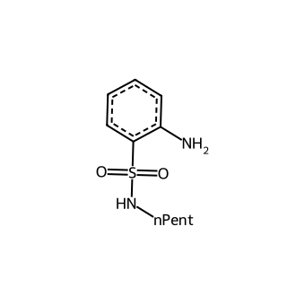 CCCCCNS(=O)(=O)c1ccccc1N